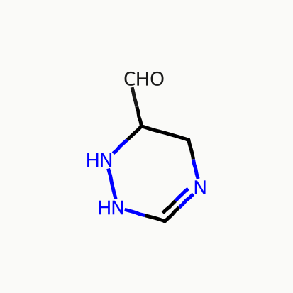 O=CC1CN=CNN1